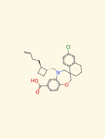 C=CCC[C@@H]1CC[C@H]1CN1CC2(CCCc3cc(Cl)ccc32)COc2ccc(C(=O)O)cc21